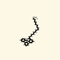 CCCCCCCC/C=C\CCCCCCCC(=O)OS(c1ccccc1)(c1ccccc1)c1ccccc1